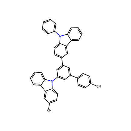 N#Cc1ccc(-c2cc(-c3ccc4c(c3)c3ccccc3n4-c3ccccc3)cc(-n3c4ccccc4c4cc(C#N)ccc43)c2)cc1